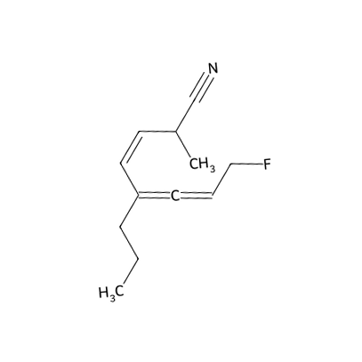 CCCC(=C=CCF)/C=C\C(C)C#N